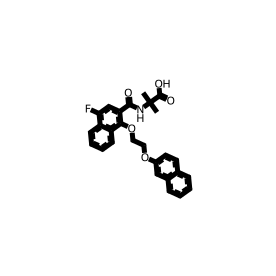 CC(C)(NC(=O)c1cc(F)c2ccccc2c1OCCOc1ccc2ccccc2c1)C(=O)O